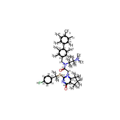 [2H]c1c([2H])c(-c2c([2H])c([2H])c(C(F)(F)F)c(C)c2[2H])c([2H])c([2H])c1CN(C(=O)Cn1c(SC([2H])([2H])c2ccc(F)cc2)nc(=O)c2c1C([2H])([2H])C([2H])([2H])C2([2H])[2H])C([2H])([2H])C([2H])([2H])N(CC)CC